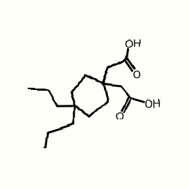 CCCC1(CCC)CCC(CC(=O)O)(CC(=O)O)CC1